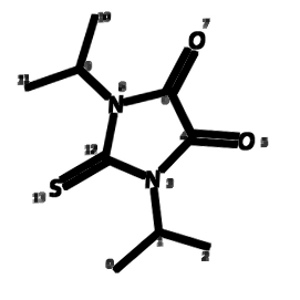 CC(C)N1C(=O)C(=O)N(C(C)C)C1=S